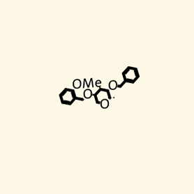 CO[C@@H]1[C@@H](OCc2ccccc2)[CH]OC[C@H]1OCc1ccccc1